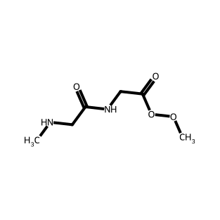 CNCC(=O)NCC(=O)OOC